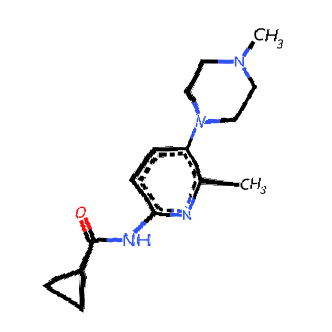 Cc1nc(NC(=O)C2CC2)ccc1N1CCN(C)CC1